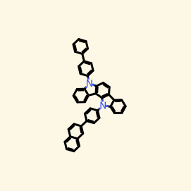 c1ccc(-c2ccc(-n3c4ccccc4c4c3ccc3c5ccccc5n(-c5ccc(-c6ccc7ccccc7c6)cc5)c34)cc2)cc1